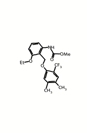 CCOc1cccc(NC(=O)OC)c1COc1cc(C)c(C)cc1C(F)(F)F